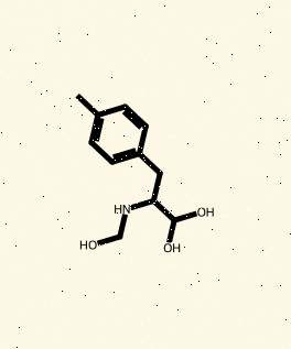 Cc1ccc(CC(NCO)C(O)O)cc1